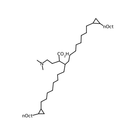 CCCCCCCCC1CC1CCCCCCCCC(CCCCCCCCC1CC1CCCCCCCC)C(CCN(C)C)C(=O)O